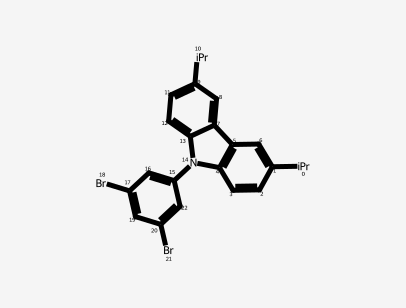 CC(C)c1ccc2c(c1)c1cc(C(C)C)ccc1n2-c1cc(Br)cc(Br)c1